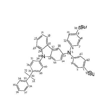 CC(C)(C)c1ccc(N(c2ccc(C(C)(C)C)cc2)c2ccc3c(c2)c2ccccc2n3-c2ccc(C(C)(C)c3ccccc3)cc2)cc1